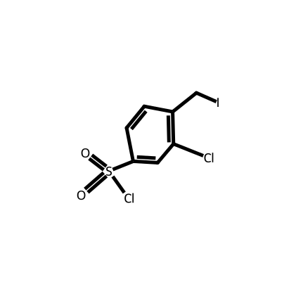 O=S(=O)(Cl)c1ccc(CI)c(Cl)c1